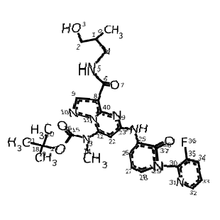 CC(CO)CNC(=O)c1cnn2c(N(C)C(=O)OC(C)(C)C)cc(Nc3cccn(-c4ncccc4F)c3=O)nc12